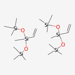 C=C[Si](C)(O[Si](C)(C)C)O[Si](C)(C)C.C=C[Si](C)(O[Si](C)(C)C)O[Si](C)(C)C